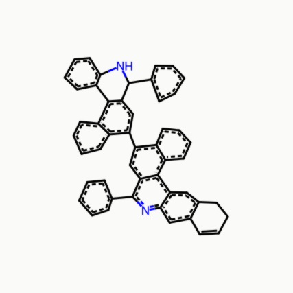 C1=Cc2cc3nc(-c4ccccc4)c4cc(-c5cc6c(c7ccccc57)-c5ccccc5NC6c5ccccc5)c5ccccc5c4c3cc2CC1